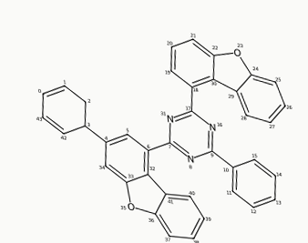 C1=CCC(c2cc(-c3nc(-c4ccccc4)nc(-c4cccc5oc6ccccc6c45)n3)c3c(c2)oc2ccccc23)C=C1